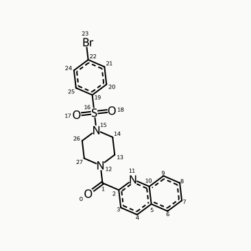 O=C(c1ccc2ccccc2n1)N1CCN(S(=O)(=O)c2ccc(Br)cc2)CC1